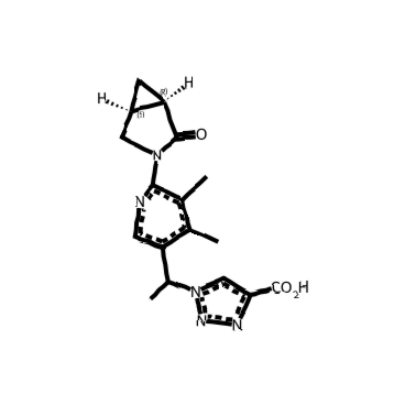 Cc1c(C(C)n2cc(C(=O)O)nn2)cnc(N2C[C@H]3C[C@H]3C2=O)c1C